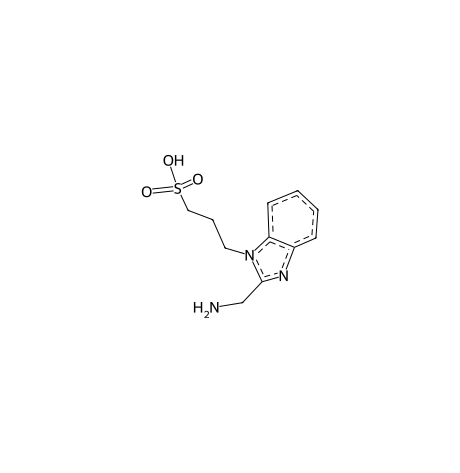 NCc1nc2ccccc2n1CCCS(=O)(=O)O